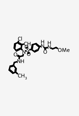 COCCNC(=O)Nc1ccc(S(=O)(=O)N(CC(=O)NCc2cccc(C)c2)c2cccc(Cl)c2C)cc1